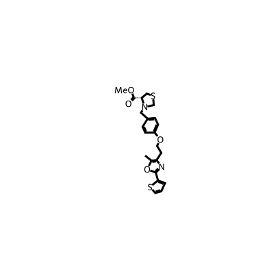 COC(=O)[C@@H]1CSCN1Cc1ccc(OCCc2nc(-c3cccs3)oc2C)cc1